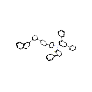 c1ccc(-c2cc(-c3ccccc3)cc(N(c3ccc(-c4ccc(-c5cccc(-c6ccc7ccccc7c6)c5)cc4)cc3)c3cccc4c3sc3ccccc34)c2)cc1